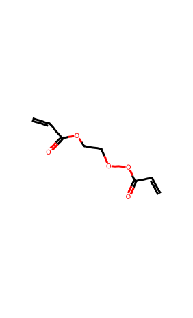 C=CC(=O)OCCOOC(=O)C=C